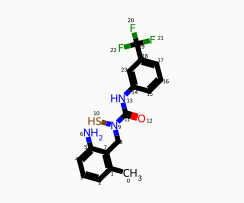 Cc1cccc(N)c1CN(S)C(=O)Nc1cccc(C(F)(F)F)c1